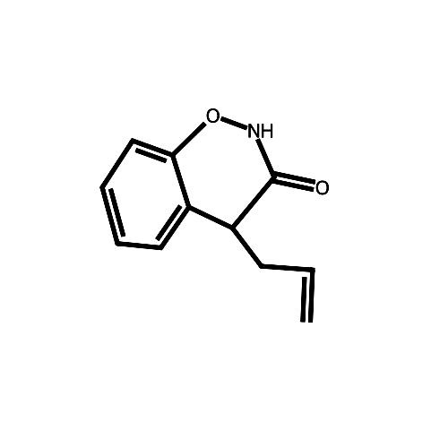 C=CCC1C(=O)NOc2ccccc21